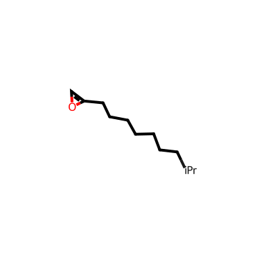 CC(C)CCCCCCCC1=CO1